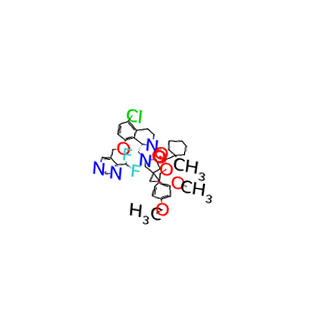 COc1ccc(COC(=O)[C@@]2(C)CCCC[C@H]2C(=O)N2CCc3c(Cl)ccc(OCc4cncnc4C(F)F)c3[C@H]2CN2CC3(CC3)CC2=O)c(OC)c1